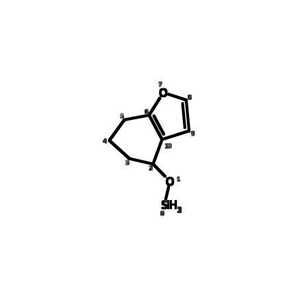 [SiH3]OC1CCCc2occc21